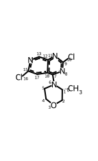 C[C@@H]1COCCN1c1nc(Cl)nc2cnc(Cl)cc12